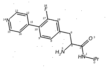 CC(C)NC(=O)C(N)Cc1ccc(-c2ccncc2)c(F)c1